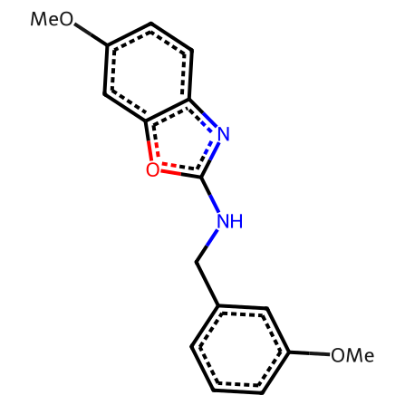 COc1cccc(CNc2nc3ccc(OC)cc3o2)c1